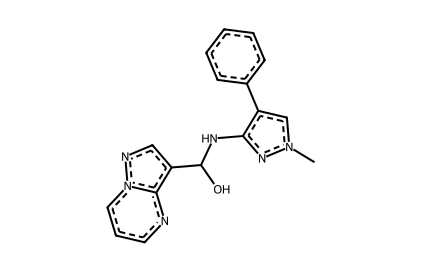 Cn1cc(-c2ccccc2)c(NC(O)c2cnn3cccnc23)n1